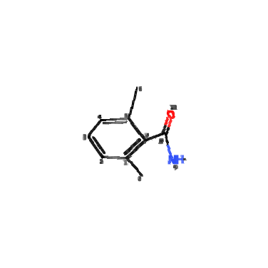 Cc1cccc(C)c1C([NH])=O